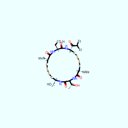 CCC(CC)C(=O)[C@@H]1CSSC[C@H](NC)C(=O)NC([C@@H](C)O)C(=O)N[C@H](C(=O)O)CSSC[C@H](NC)C(=O)N[C@@H](CC(=O)O)C(=O)N1